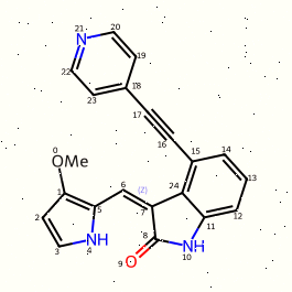 COc1cc[nH]c1/C=C1\C(=O)Nc2cccc(C#Cc3ccncc3)c21